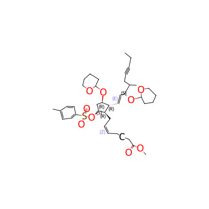 CCC#CCC(C)[C@@H](/C=C/[C@@H]1[C@@H](C/C=C\CCCC(=O)OC)[C@@H](OS(=O)(=O)c2ccc(C)cc2)C[C@H]1OC1CCCCO1)OC1CCCCO1